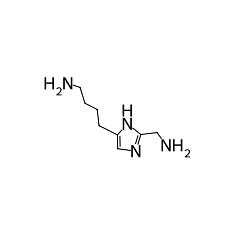 NCCCCc1cnc(CN)[nH]1